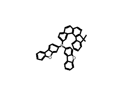 CC1(C)c2ccccc2-c2c1ccc1ccc3ccc(N(c4ccc5c(c4)oc4ccccc45)c4ccc5oc6ccccc6c5c4)cc3c21